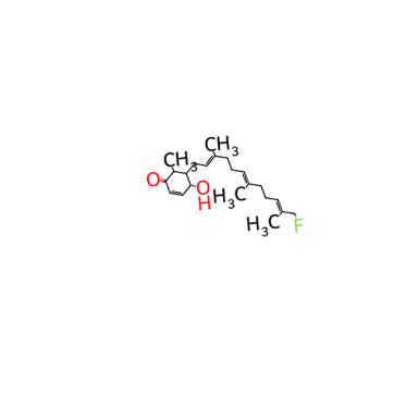 C/C(=C\CC/C(C)=C/CC/C(C)=C/CC1C(O)C=CC(=O)C1C)CF